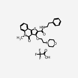 Cn1c(=O)c2c(OCCN3CCOCC3)c(C(=O)NCCc3ccccc3)sc2c2ccccc21.O=C(O)C(F)(F)F